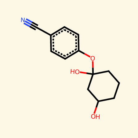 N#Cc1ccc(OC2(O)CCCC(O)C2)cc1